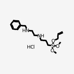 C=CCO[Si](CCCNCCNCc1ccccc1)(OC)OC.Cl